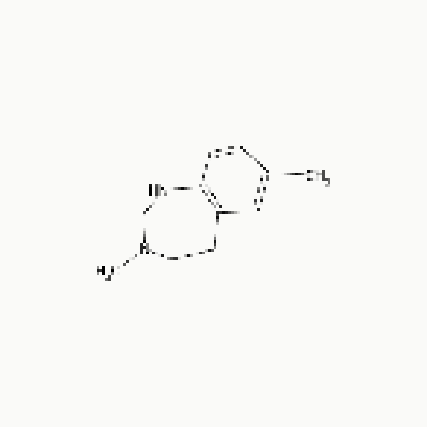 Cc1ccc2c(c1)CCN(C)CN2